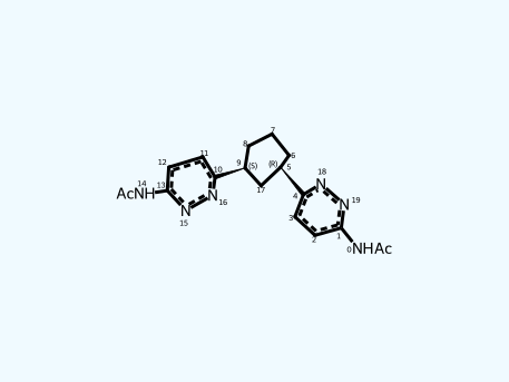 CC(=O)Nc1ccc([C@@H]2CCC[C@H](c3ccc(NC(C)=O)nn3)C2)nn1